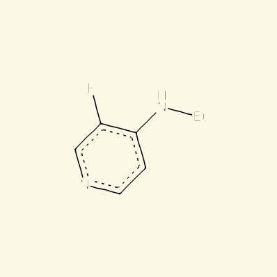 CCNc1ccn[c]c1F